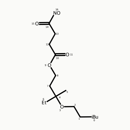 CCC(C)CCOC(C)(CC)CCOC(=O)CCC(=O)N=O